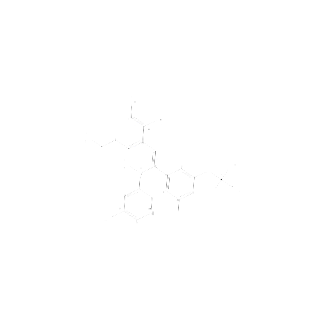 CCC/C=C(/C=C(/c1cc(F)cc(OC(F)(F)F)c1)N(C)C1=CC(F)=CNC1)C(\O)=C\O